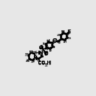 O=C(O)[C@H](CNS(=O)(=O)c1ccc(OCc2ccc(F)cc2)cc1)N1CCCCC1